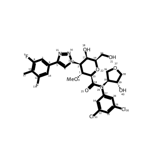 CO[C@@H]1[C@@H](n2cc(-c3cc(F)c(C)c(F)c3)nn2)[C@@H](O)[C@@H](CO)O[C@H]1C(=O)N(c1cc(Cl)cc(Cl)c1)[C@H]1COC[C@@H]1O